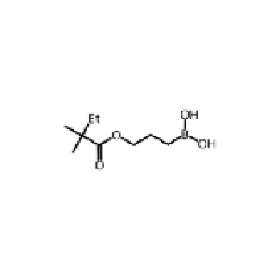 CCC(C)(C)C(=O)OCCCB(O)O